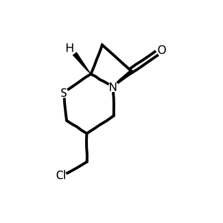 O=C1C[C@H]2SCC(CCl)CN12